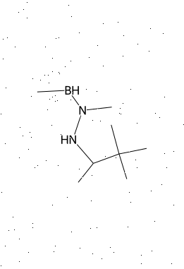 CBN(C)NC(C)C(C)(C)C